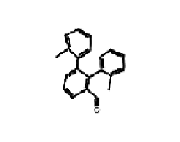 Cc1ccccc1-c1cccc(C=O)c1-c1ccccc1C